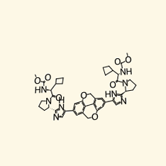 COC(=O)N[C@H](C(=O)N1CCC[C@H]1c1ncc(-c2cc3c4c(c2)OCc2cc(-c5cnc([C@@H]6CCCN6C(=O)[C@@H](NC(=O)OC)C6CCC6)[nH]5)cc(c2-4)OC3)[nH]1)C1CCC1